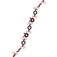 C=CC(=O)OCCCCOC(=O)C1CCC(C(=O)Oc2ccc(OC(=O)C3CCC(C(=O)Oc4ccc(OC(=O)C5CCC(C(=O)OCCCCOC(=O)C=C)CC5)c(C)c4C)CC3)c(C)c2C)CC1